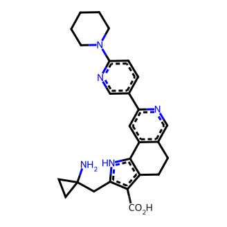 NC1(Cc2[nH]c3c(c2C(=O)O)CCc2cnc(-c4ccc(N5CCCCC5)nc4)cc2-3)CC1